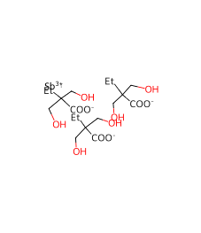 CCC(CO)(CO)C(=O)[O-].CCC(CO)(CO)C(=O)[O-].CCC(CO)(CO)C(=O)[O-].[Sb+3]